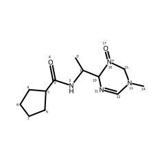 CC(NC(=O)C1CCCC1)C1N=CN(C)C[N+]1=O